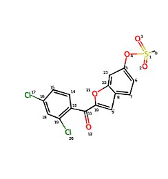 CS(=O)(=O)Oc1ccc2[c]c(C(=O)c3ccc(Cl)cc3Cl)oc2c1